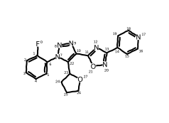 Fc1ccccc1-n1nnc(-c2nc(-c3ccncc3)no2)c1C1CCCO1